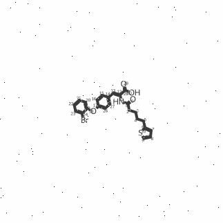 O=C(CCCCc1cccs1)NC(=Cc1ccc(Oc2ccccc2Br)cc1)C(=O)O